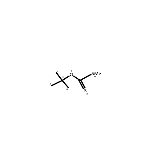 C[SH2]C(=S)OC(C)(C)C